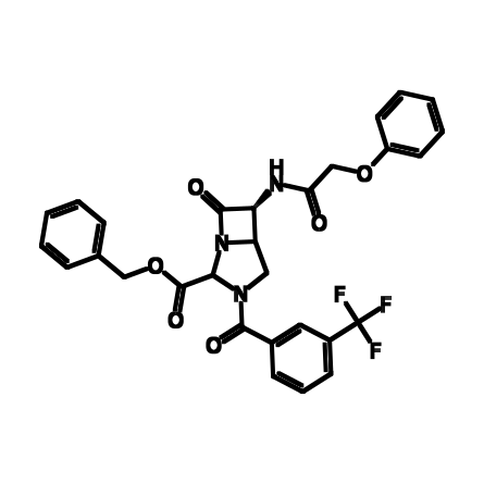 O=C(COc1ccccc1)N[C@@H]1C(=O)N2C1CN(C(=O)c1cccc(C(F)(F)F)c1)C2C(=O)OCc1ccccc1